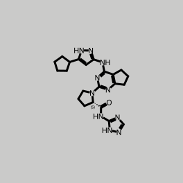 O=C(Nc1ncn[nH]1)[C@@H]1CCCN1c1nc2c(c(Nc3cc(C4CCCC4)[nH]n3)n1)CCC2